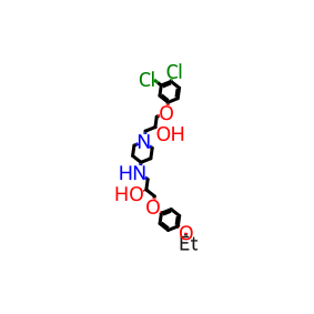 CCOc1ccc(OC[C@H](O)CNC2CCN(C[C@H](O)COc3ccc(Cl)c(Cl)c3)CC2)cc1